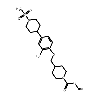 CC(C)(C)OC(=O)N1CCC(COc2ccc(C3CCN(S(C)(=O)=O)CC3)cc2C(F)(F)F)CC1